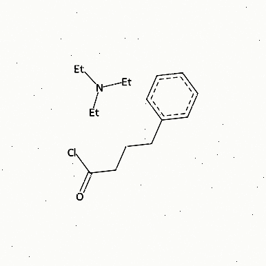 CCN(CC)CC.O=C(Cl)CCCc1ccccc1